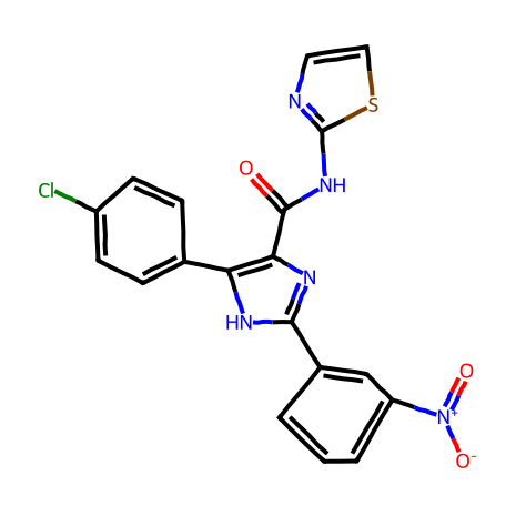 O=C(Nc1nccs1)c1nc(-c2cccc([N+](=O)[O-])c2)[nH]c1-c1ccc(Cl)cc1